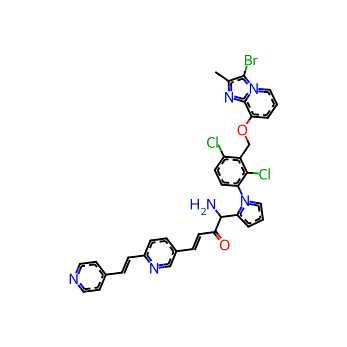 Cc1nc2c(OCc3c(Cl)ccc(-n4cccc4C(N)C(=O)/C=C/c4ccc(/C=C/c5ccncc5)nc4)c3Cl)cccn2c1Br